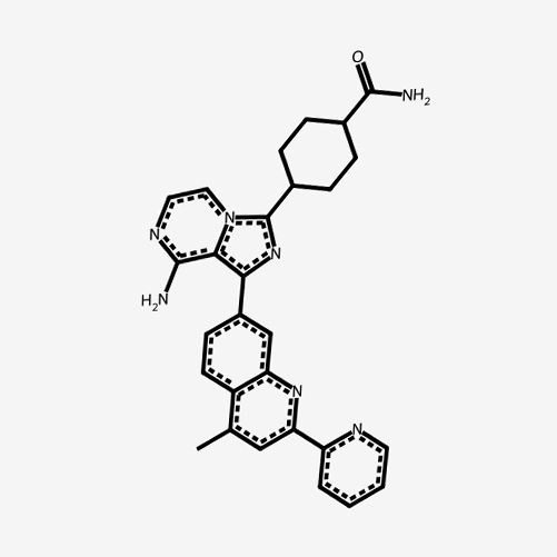 Cc1cc(-c2ccccn2)nc2cc(-c3nc(C4CCC(C(N)=O)CC4)n4ccnc(N)c34)ccc12